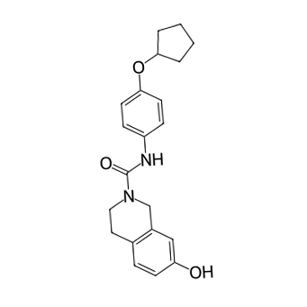 O=C(Nc1ccc(OC2CCCC2)cc1)N1CCc2ccc(O)cc2C1